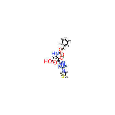 O=C(O)CC(NC(=O)OCc1ccccc1)C(=O)Cn1nnc(N2C=CSC2)n1